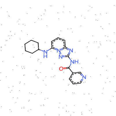 O=C(Nc1nc2cccc(NC3CCCCC3)n2n1)c1cccnc1